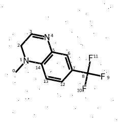 CN1CC=Nc2cc(C(F)(F)F)ccc21